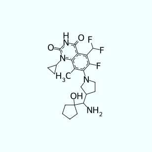 Cc1c(N2CCC(C(N)C3(O)CCCC3)C2)c(F)c(C(F)F)c2c(=O)[nH]c(=O)n(C3CC3)c12